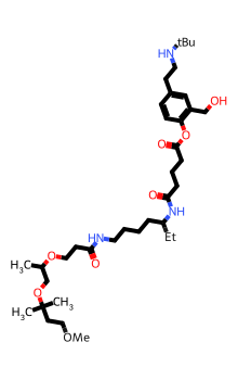 CCC(CCCCNC(=O)CCOC(C)COC(C)(C)CCOC)NC(=O)CCCC(=O)Oc1ccc(CCNC(C)(C)C)cc1CO